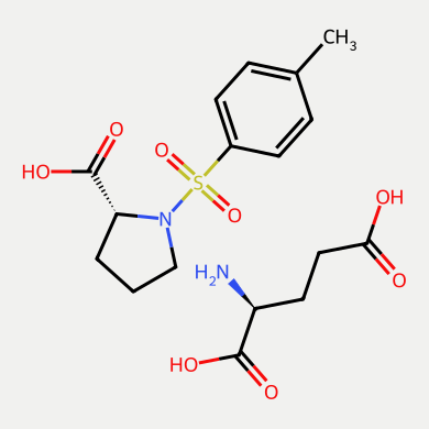 Cc1ccc(S(=O)(=O)N2CCC[C@@H]2C(=O)O)cc1.N[C@@H](CCC(=O)O)C(=O)O